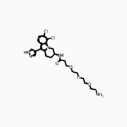 NCCOCCOCCOCCC(=O)NC1CCc2c(-c3cn[nH]c3)c3ccc(Cl)c(Cl)c3n2C1